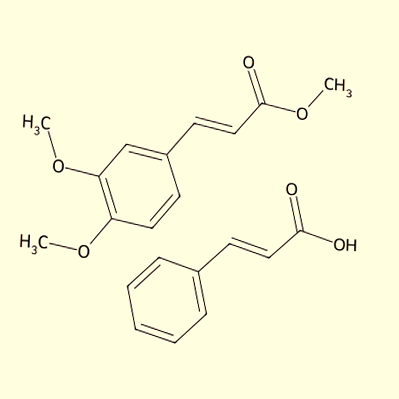 COC(=O)C=Cc1ccc(OC)c(OC)c1.O=C(O)C=Cc1ccccc1